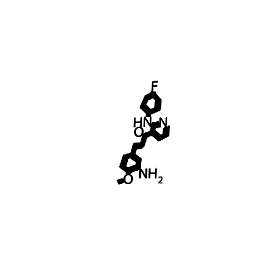 COc1ccc(C=CC(=O)c2cccnc2Nc2ccc(F)cc2)cc1N